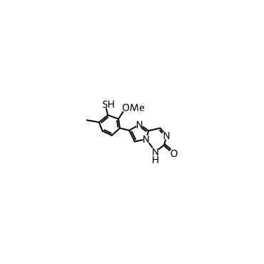 COc1c(-c2cn3[nH]c(=O)ncc3n2)ccc(C)c1S